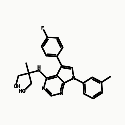 Cc1cccc(-n2cc(-c3ccc(F)cc3)c3c(NC(C)(CO)CO)ncnc32)c1